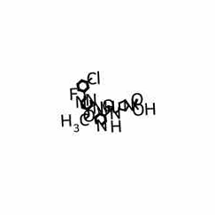 COc1cnc(-c2cc(Cl)ccc2F)nc1Nc1ccncc1C(=O)NC1CCN(C(=O)O)C1